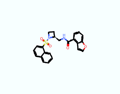 O=C(NC[C@@H]1CCN1S(=O)(=O)c1cccc2ccccc12)c1cccc2occc12